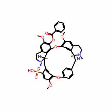 COc1cc(S(=O)(=O)O)c2cc1Oc1ccc(cc1)C[C@H]1c3cc(c(OC)cc3CCN1C)Oc1c(OC(=O)c3ccccc3)c(OC)cc3c1[C@H](C2)N(C)CC3